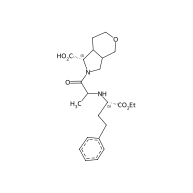 CCOC(=O)[C@H](CCc1ccccc1)NC(C)C(=O)N1CC2COCCC2[C@H]1C(=O)O